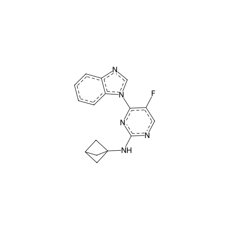 Fc1cnc(NC23CC(C2)C3)nc1-n1cnc2ccccc21